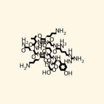 CC(C)[C@H](NC(=O)[C@H](CCCCN)NC(=O)CNC(=O)[C@@H](N)CCCNC(=N)N)C(=O)N[C@@H](CCC(N)=O)C(=O)N[C@@H](CCCCN)C(=O)N[C@@H](CCC(=O)O)C(=O)N[C@@H](Cc1ccc(O)cc1)C(=O)N[C@@H](C)C(=O)O